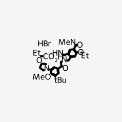 Br.CCOc1cc2c(cc1C(=O)NC)C(=N)N(CC(=O)c1cc(N3CCC(OC(CC)C(=O)O)C3)c(OC)c(C(C)(C)C)c1)C2